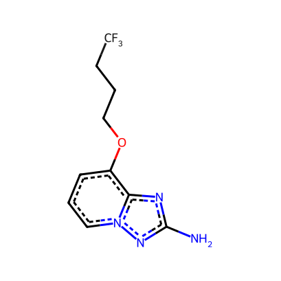 Nc1nc2c(OCCCC(F)(F)F)cccn2n1